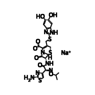 CC(C)ON=C(C(=O)N[C@@H]1C(=O)N2C(C(=O)[O-])=C(CSc3nc4cc(O)c(O)cc4[nH]3)CS[C@@H]12)c1csc(N)n1.[Na+]